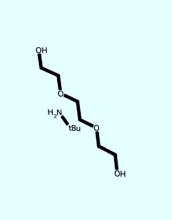 CC(C)(C)N.OCCOCCOCCO